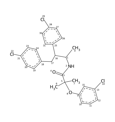 CC(NC(=O)C(C)(C)Oc1cccc(Cl)c1)C(Cc1ccc(Cl)cc1)c1ccc(Cl)cc1